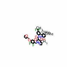 COc1cccc(-c2cc(C(C)(F)F)ccc2NC(=O)C2=C(O)C3(C)CCCN3N(Cc3ccc(OC[C@H]4CCCO4)c(F)c3F)C2=O)c1OC